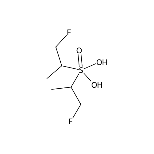 CC(CF)S(=O)(O)(O)C(C)CF